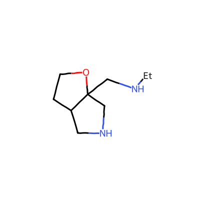 CCNCC12CNCC1CCO2